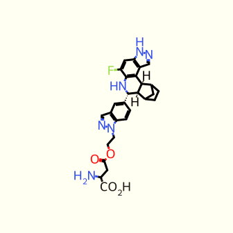 NC(CC(=O)OCCn1ncc2cc([C@@H]3Nc4c(F)cc5[nH]ncc5c4[C@H]4C5CCC(C5)[C@@H]34)ccc21)C(=O)O